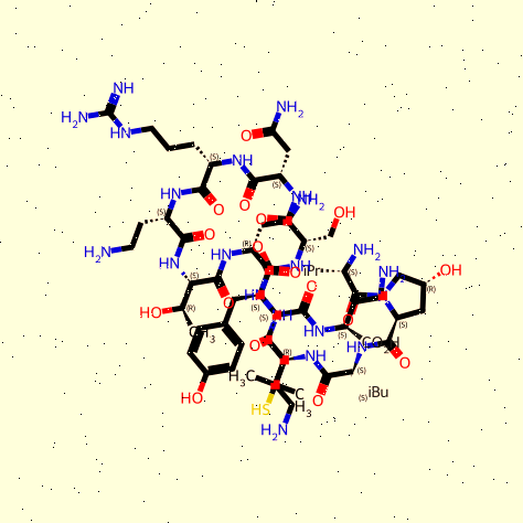 CC[C@H](C)[C@H](NC(=O)[C@@H]1C[C@@H](O)CN1C(=O)[C@@H](N)C(C)C)C(=O)N[C@H](C(=O)N[C@@H](Cc1ccc(O)cc1)C(=O)N[C@@H](CO)C(=O)N[C@@H](CC(N)=O)C(=O)N[C@@H](CCCNC(=N)N)C(=O)N[C@@H](CCN)C(=O)N[C@H](C(=O)N[C@H](CCN)C(=O)N[C@@H](CCCCN)C(=O)N[C@@H](CCN)C(=O)O)[C@@H](C)O)C(C)(C)S